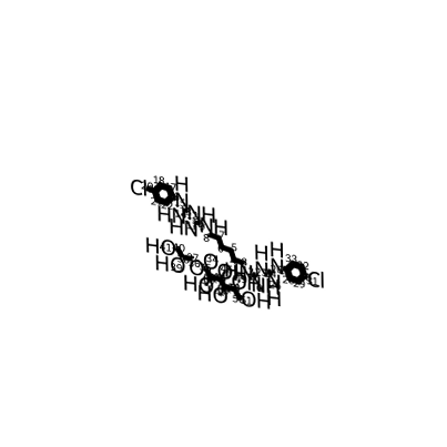 N=C(NCCCCCCNC(=N)NC(=N)Nc1ccc(Cl)cc1)NC(=N)Nc1ccc(Cl)cc1.O=C(OCC(O)CO)[C@H](O)[C@@H](O)[C@H](O)[C@H](O)CO